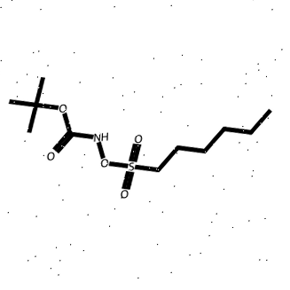 CCCCCCS(=O)(=O)ONC(=O)OC(C)(C)C